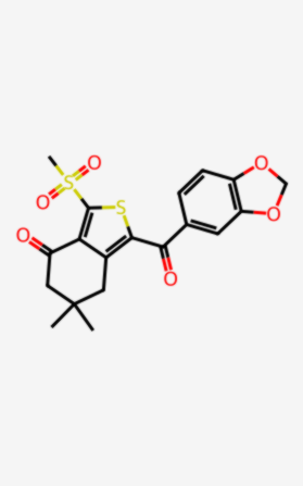 CC1(C)CC(=O)c2c(S(C)(=O)=O)sc(C(=O)c3ccc4c(c3)OCO4)c2C1